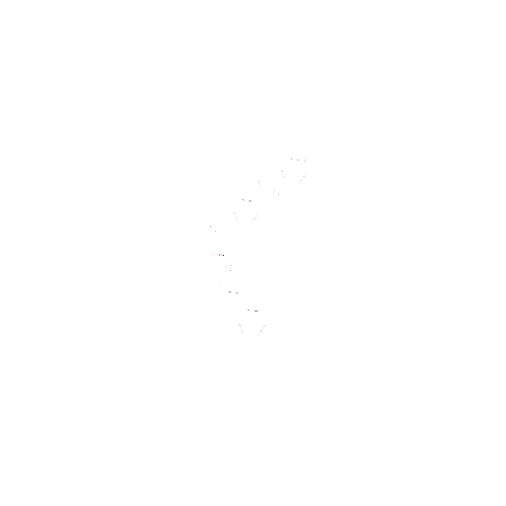 NC(CC(=O)N1CC=C(c2ccc(F)cc2)CC1)c1ccc(C(=O)Nc2ccncc2)cc1